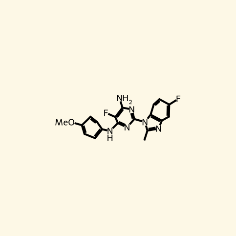 COc1ccc(Nc2nc(-n3c(C)nc4cc(F)ccc43)nc(N)c2F)cc1